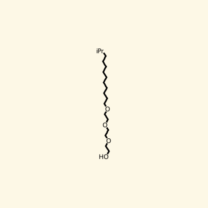 CC(C)CCCCCCCCCCOCCOCCOCCO